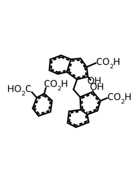 O=C(O)c1cc2ccccc2c(Cc2c(O)c(C(=O)O)cc3ccccc23)c1O.O=C(O)c1ccccc1C(=O)O